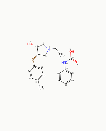 CCN1C[C@@H](O)[C@H](Sc2ccc(C)cc2)C1.O=C(O)Nc1ccccc1